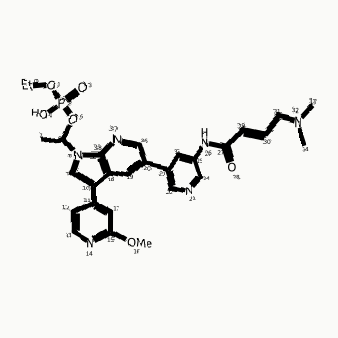 CCOP(=O)(O)OC(C)n1cc(-c2ccnc(OC)c2)c2cc(-c3cncc(NC(=O)C=CCN(C)C)c3)cnc21